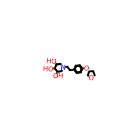 OC1[C@H](O)CN(CCc2ccc(OC3CCOC3)cc2)C[C@@H]1O